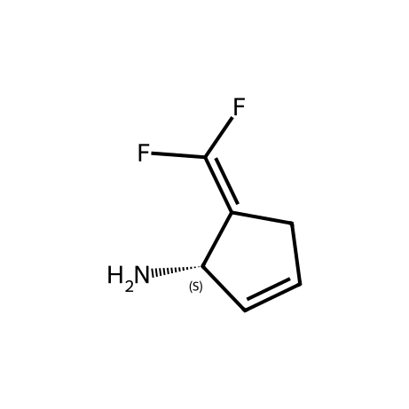 N[C@H]1C=CCC1=C(F)F